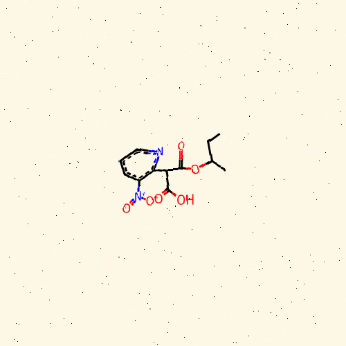 CCC(C)OC(=O)C(C(=O)O)c1ncccc1[N+](=O)[O-]